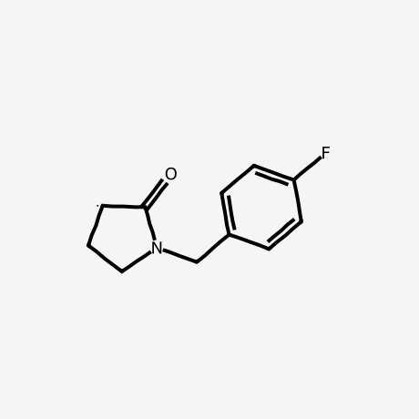 O=C1[CH]CCN1Cc1ccc(F)cc1